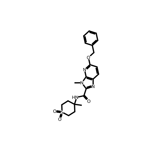 Cn1c(C(=O)NC2(C)CCS(=O)(=O)CC2)nc2ccc(OCc3ccccc3)nc21